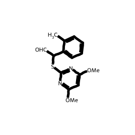 COc1cc(OC)nc(SC(C=O)c2ccccc2C)n1